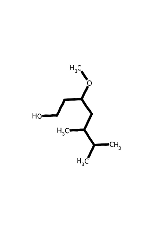 COC(CCO)CC(C)C(C)C